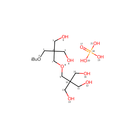 CC(C)COCC(CO)(CO)COCC(CO)(CO)CO.O=P(O)(O)O